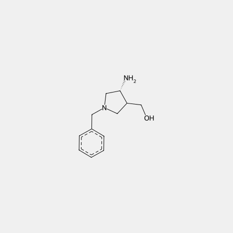 N[C@H]1CN(Cc2ccccc2)CC1CO